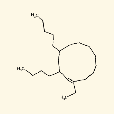 CCCCCC1CCCCCCCC(CC)=CC(CCCC)C1